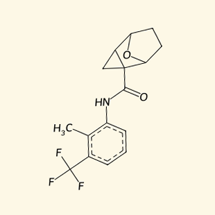 Cc1c(NC(=O)C23CC2C2CCC3O2)cccc1C(F)(F)F